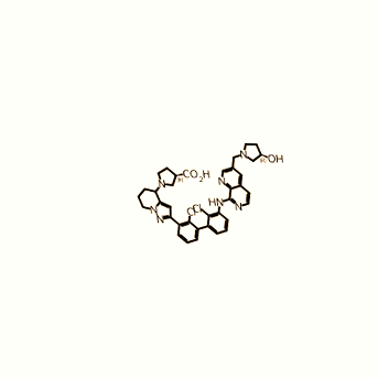 O=C(O)[C@@H]1CCN(C2CCCn3nc(-c4cccc(-c5cccc(Nc6nccc7cc(CN8CC[C@@H](O)C8)cnc67)c5Cl)c4Cl)cc32)C1